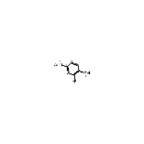 CC(=O)Oc1ccc(O)c(F)c1